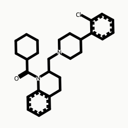 O=C(C1CCCCC1)N1c2ccccc2CCC1CN1CCC(c2ccccc2Cl)CC1